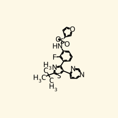 CC(C)(C)c1nc(-c2cccc(NS(=O)(=O)c3ccoc3)c2F)c(-c2ccncn2)s1